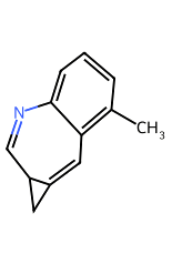 Cc1cccc2c1C=C1CC1C=N2